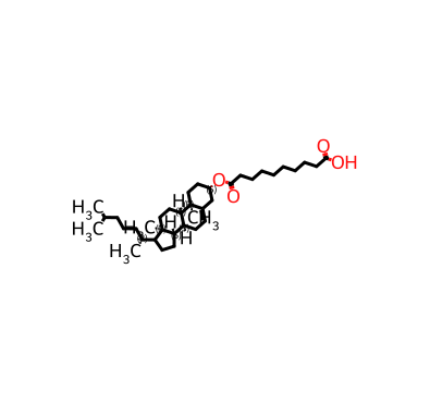 CC(C)CCC[C@@H](C)C1CC[C@H]2[C@@H]3CC=C4C[C@@H](OC(=O)CCCCCCCCC(=O)O)CC[C@]4(C)[C@H]3CC[C@]12C